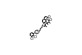 CC(C)CC(C)(C)C(C)C(=O)n1c(=O)ccc2ccc(OCCCCN3CCN(c4cccc(Cl)c4Cl)CC3)cc21